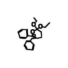 CCOC1(OCC)CCC[Si](c2ccccc2)(c2ccccc2)O1